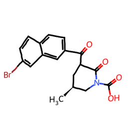 C[C@H]1CC(C(=O)c2ccc3ccc(Br)cc3c2)C(=O)N(C(=O)O)C1